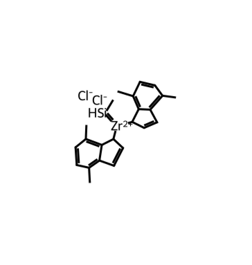 C[SiH]=[Zr+2]([CH]1C=Cc2c(C)ccc(C)c21)[CH]1C=Cc2c(C)ccc(C)c21.[Cl-].[Cl-]